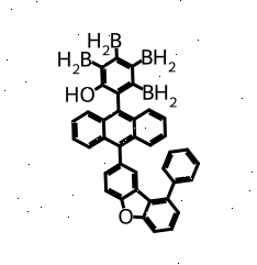 Bc1c(B)c(B)c(-c2c3ccccc3c(-c3ccc4oc5cccc(-c6ccccc6)c5c4c3)c3ccccc23)c(O)c1B